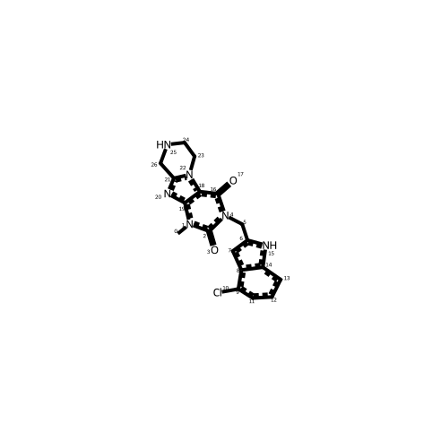 Cn1c(=O)n(Cc2cc3c(Cl)cccc3[nH]2)c(=O)c2c1nc1n2CCNC1